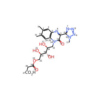 Cc1cc2nc(-c3nnnn3C)c(=O)n(C[C@H](O)[C@H](O)[C@H](O)COC(=O)CC(=O)O)c2cc1C